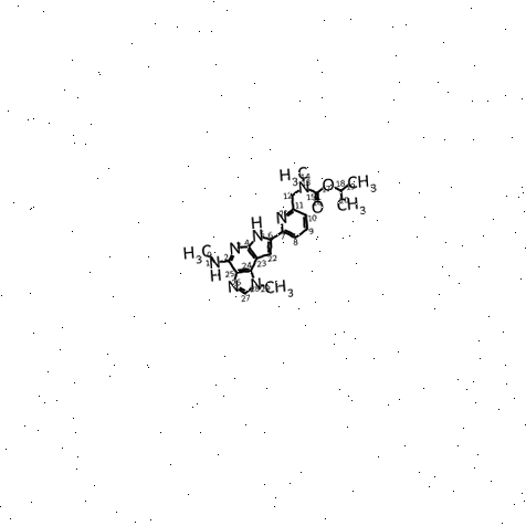 CNc1nc2[nH]c(-c3cccc(CN(C)C(=O)OC(C)C)n3)cc2c2c1ncn2C